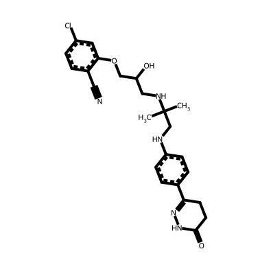 CC(C)(CNc1ccc(C2=NNC(=O)CC2)cc1)NCC(O)COc1cc(Cl)ccc1C#N